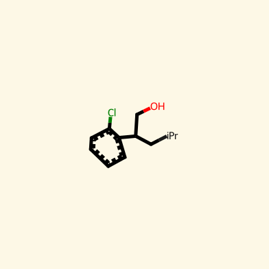 CC(C)CC(CO)c1ccccc1Cl